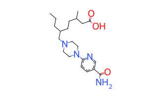 CCCC(CCC(C)CC(=O)O)CN1CCN(c2ccc(C(N)=O)cn2)CC1